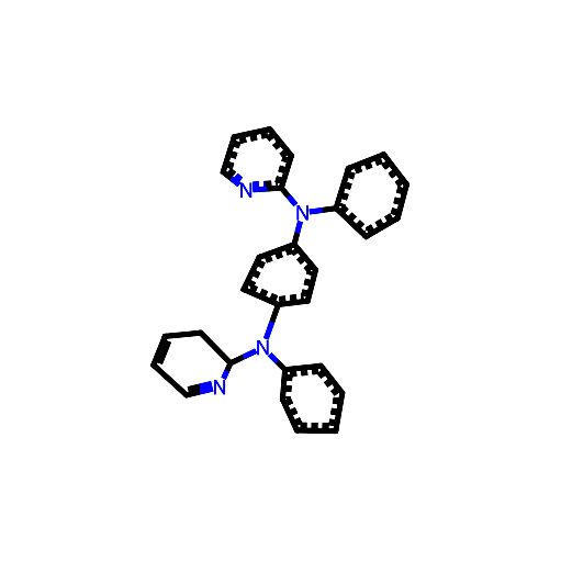 C1=CCC(N(c2ccccc2)c2ccc(N(c3ccccc3)c3ccccn3)cc2)N=C1